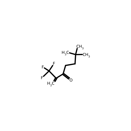 C=C(C(=O)CCC(C)(C)C)C(F)(F)F